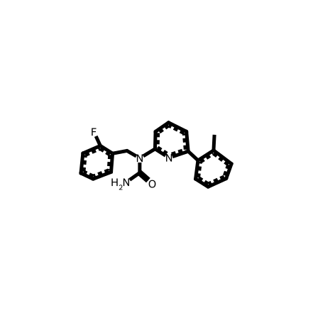 Cc1ccccc1-c1cccc(N(Cc2ccccc2F)C(N)=O)n1